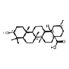 C[C@H]1CC[C@]2(C(=O)O)CC[C@@]3(C)C(CCC4[C@@]5(C)CC[C@H](O)C(C)(C)C5CC[C@]43C)[C@@H]2C1